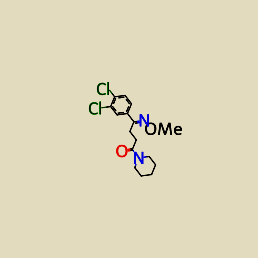 CON=C(CCC(=O)N1CCCCC1)c1ccc(Cl)c(Cl)c1